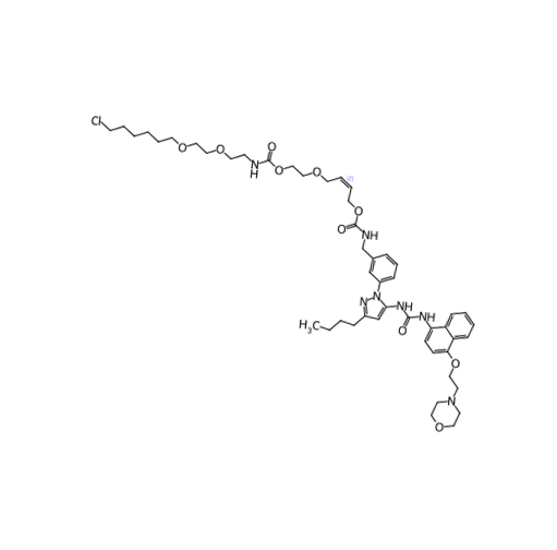 CCCCc1cc(NC(=O)Nc2ccc(OCCN3CCOCC3)c3ccccc23)n(-c2cccc(CNC(=O)OC/C=C\COCCOC(=O)NCCOCCOCCCCCCCl)c2)n1